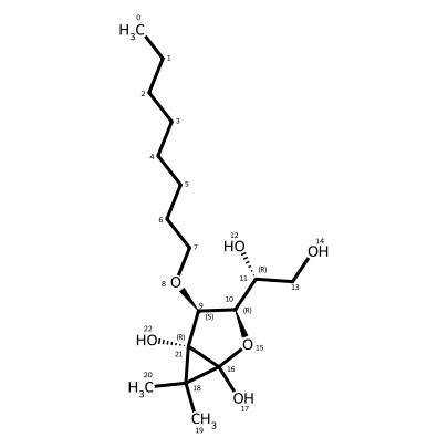 CCCCCCCCO[C@H]1[C@@H]([C@H](O)CO)OC2(O)C(C)(C)[C@@]12O